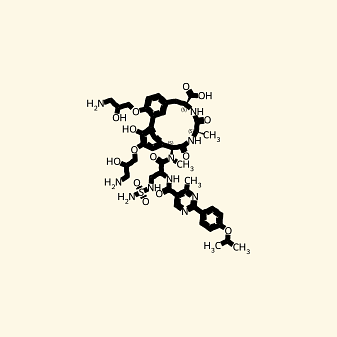 Cc1nc(-c2ccc(OC(C)C)cc2)ncc1C(=O)NC(CNS(N)(=O)=O)C(=O)N(C)[C@@H]1C(=O)N[C@@H](C)C(=O)N[C@H](C(=O)O)Cc2ccc(OCC(O)CN)c(c2)-c2cc1cc(OCC(O)CN)c2O